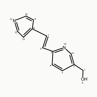 OCc1ccc(/C=C/c2ccncc2)nc1